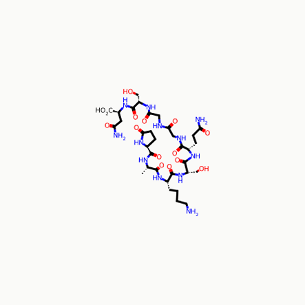 C[C@H](NC(=O)[C@@H]1CCC(=O)N1)C(=O)N[C@@H](CCCCN)C(=O)N[C@@H](CO)C(=O)N[C@@H](CCC(N)=O)C(=O)NCC(=O)NCC(=O)N[C@@H](CO)C(=O)N[C@@H](CC(N)=O)C(=O)O